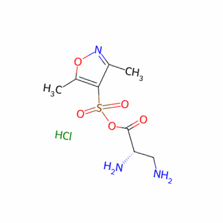 Cc1noc(C)c1S(=O)(=O)OC(=O)[C@@H](N)CN.Cl